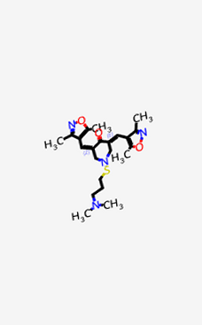 Cc1noc(C)c1/C=C1/CN(SCCCN(C)C)C/C(=C\c2c(C)noc2C)C1=O